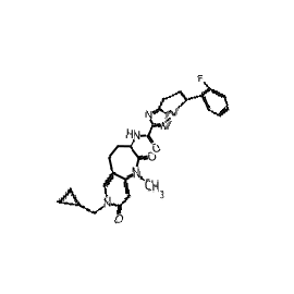 CN1C(=O)C(NC(=O)c2nc3n(n2)C(c2ccccc2F)CC3)CCc2cn(CC3CC3)c(=O)cc21